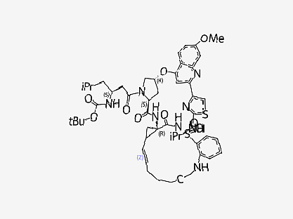 COc1ccc2c(O[C@@H]3C[C@@H](C(=O)N[C@]45CC4/C=C\CCCCCNc4ccccc4S(=O)(=O)NC5=O)N(C(=O)C[C@H](CC(C)C)NC(=O)OC(C)(C)C)C3)cc(-c3csc(NC(C)C)n3)nc2c1